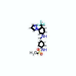 CCS(=O)(=O)N[C@H]1CC[C@H](CNc2ccc(C(F)(F)F)c(-n3cccn3)c2)CC1